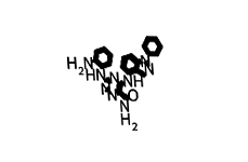 NC(=O)c1nnc(N[C@@H]2CCCC[C@@H]2N)nc1Nc1cccc2c1cnn2C1CCCCC1